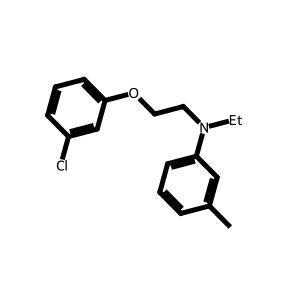 CCN(CCOc1cccc(Cl)c1)c1cccc(C)c1